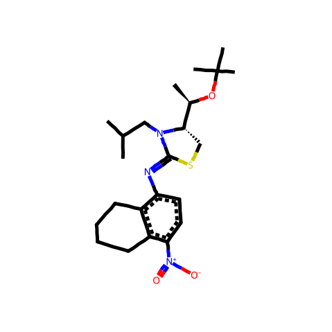 CC(C)CN1/C(=N/c2ccc([N+](=O)[O-])c3c2CCCC3)SC[C@H]1[C@@H](C)OC(C)(C)C